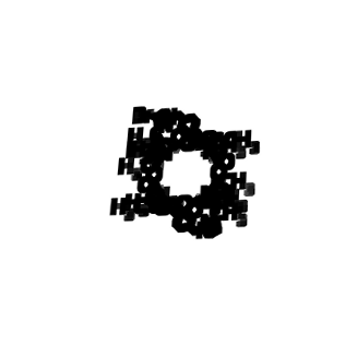 CC(C)C[C@H]1C(=O)O[C@H](Cc2ccc(Cn3cc(Br)cn3)cc2)C(=O)N(C)[C@@H](CC(C)C)C(=O)O[C@H](C)C(=O)N(C)[C@@H](CC(C)C)C(=O)O[C@H](Cc2ccc(Cn3cccn3)cc2)C(=O)N(C)[C@@H](CC(C)C)C(=O)O[C@H](C)C(=O)N1C